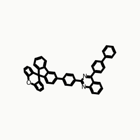 c1ccc(-c2ccc(-c3nc(-c4ccc(-c5ccc6c(c5)-c5ccccc5C65c6ccccc6Oc6ccccc65)cc4)nc4ccccc34)cc2)cc1